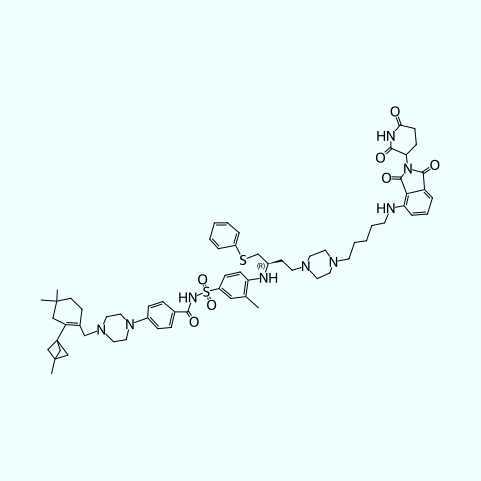 Cc1cc(S(=O)(=O)NC(=O)c2ccc(N3CCN(CC4=C(C56CC(C)(C5)C6)CC(C)(C)CC4)CC3)cc2)ccc1N[C@H](CCN1CCN(CCCCCNc2cccc3c2C(=O)N(C2CCC(=O)NC2=O)C3=O)CC1)CSc1ccccc1